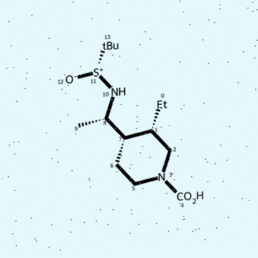 CC[C@@H]1CN(C(=O)O)CC[C@@H]1[C@H](C)N[S@+]([O-])C(C)(C)C